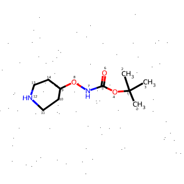 CC(C)(C)OC(=O)NOC1CCNCC1